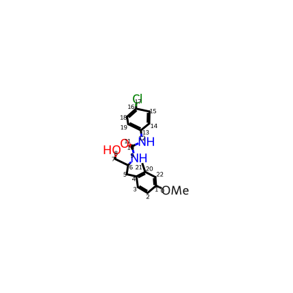 COc1ccc(CC(CO)NC(=O)Nc2ccc(Cl)cc2)c(C)c1